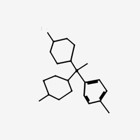 Cc1ccc(C(C)(C2CCC(O)CC2)C2CCC(O)CC2)cc1